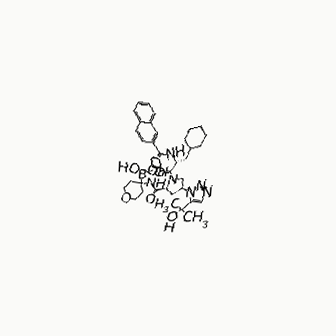 CC(C)(O)c1cnnn1[C@H]1C[C@@H](C(=O)NC2(B(O)O)CCOCC2)N(C(=O)[C@@H](CC2CCCCC2)NC(=O)c2ccc3ccccc3c2)C1